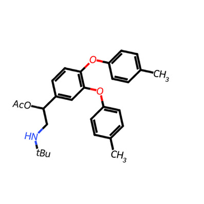 CC(=O)OC(CNC(C)(C)C)c1ccc(Oc2ccc(C)cc2)c(Oc2ccc(C)cc2)c1